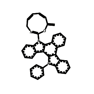 C=C1/C=C\C=C/C/N=C(/n2c3ccccc3c3c2c2ccccc2c2c4ccccc4n(-c4ccccc4)c23)O1